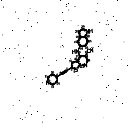 N#Cc1cnc2sc(C#Cc3ccncc3)cc2c1Nc1ccc2[nH]ccc2c1